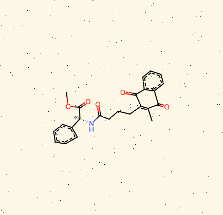 COC(=O)[C@H](NC(=O)CCCC1=C(C)C(=O)c2ccccc2C1=O)c1ccccc1